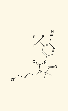 CC1(C)C(=O)N(c2cnc(C#N)c(C(F)(F)F)c2)C(=O)N1CC=CCCl